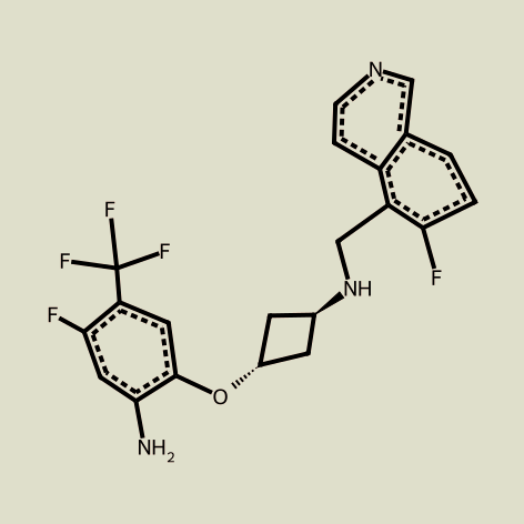 Nc1cc(F)c(C(F)(F)F)cc1O[C@H]1C[C@H](NCc2c(F)ccc3cnccc23)C1